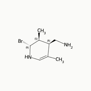 CC1=CN[C@H](Br)[C@@H](C)[C@H]1CN